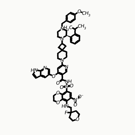 COc1ccc(CN2CCN(C3CC4(CCN(c5cc(Oc6cnc7[nH]ccc7c6)c(C(=O)NS(=O)(=O)c6cc([N+](=O)[O-])c(NCC7(F)CCOCC7)c7c6OCCO7)cn5)CC4)C3)[C@H](c3ccccc3C(C)C)C2)cc1